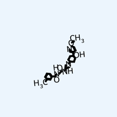 CCOc1ccc(C2(O)CCC(N3CC(NC(=O)CNC(=O)c4cccc(C)c4)C3)CC2)cn1